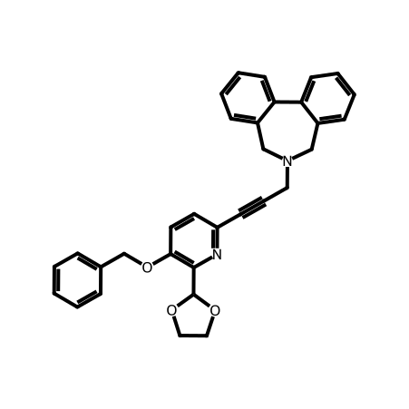 C(#Cc1ccc(OCc2ccccc2)c(C2OCCO2)n1)CN1Cc2ccccc2-c2ccccc2C1